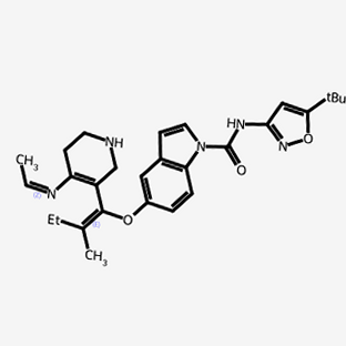 C/C=N\C1=C(C(/Oc2ccc3c(ccn3C(=O)Nc3cc(C(C)(C)C)on3)c2)=C(/C)CC)CNCC1